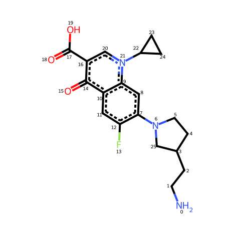 NCCC1CCN(c2cc3c(cc2F)c(=O)c(C(=O)O)cn3C2CC2)C1